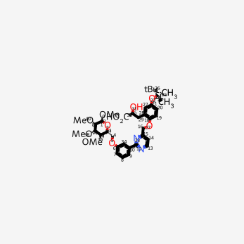 CO[C@H]1O[C@H](COc2cccc(-c3nccc(COc4ccc(O[Si](C)(C)C(C)(C)C)cc4CC(O)C(=O)O)n3)c2)[C@@H](OC)[C@H](OC)[C@@H]1OC